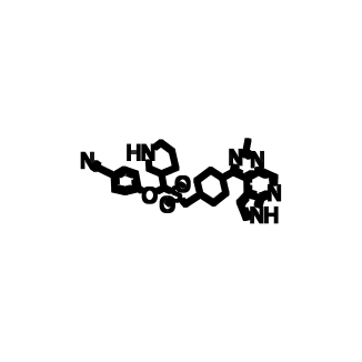 Cc1nc(C2CCC(CS(=O)(=O)C(Oc3ccc(C#N)cc3)C3CCCNC3)CC2)c2c(cnc3[nH]ccc32)n1